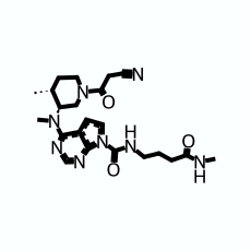 CNC(=O)CCCNC(=O)n1ccc2c(N(C)[C@H]3CN(C(=O)CC#N)CC[C@H]3C)ncnc21